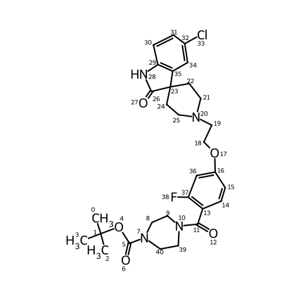 CC(C)(C)OC(=O)N1CCN(C(=O)c2ccc(OCCN3CCC4(CC3)C(=O)Nc3ccc(Cl)cc34)cc2F)CC1